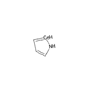 C1=C[NH][GeH]=[CH]1